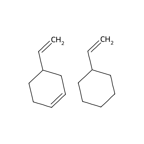 C=CC1CC=CCC1.C=CC1CCCCC1